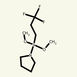 CO[Si](CCC(F)(F)F)(OC)N1CCCC1